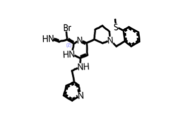 CSc1ccccc1CN1CCCC(C2=N/C(=C(\Br)C=N)NC(NCc3cccnc3)=C2)C1